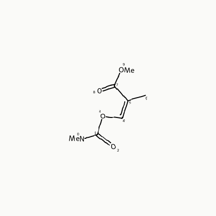 CNC(=O)OC=C(C)C(=O)OC